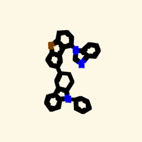 C1=C(c2ccc3sc4cccc(-n5cnc6ccccc65)c4c3c2)CCc2c1c1ccccc1n2-c1ccccc1